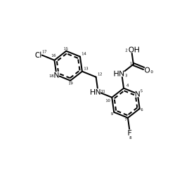 O=C(O)Nc1ncc(F)cc1NCc1ccc(Cl)nc1